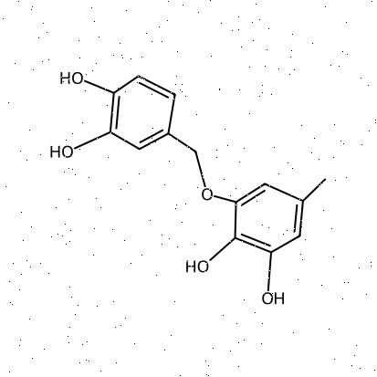 Cc1cc(O)c(O)c(OCc2ccc(O)c(O)c2)c1